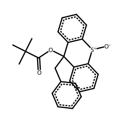 CC(C)(C)C(=O)OC1(Cc2ccccc2)c2ccccc2[S+]([O-])c2ccccc21